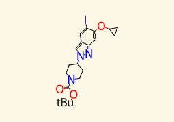 CC(C)(C)OC(=O)N1CCC(n2cc3cc(I)c(OC4CC4)cc3n2)CC1